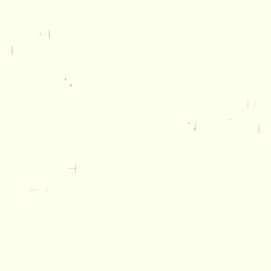 CC1(C)c2ccccc2-c2ccc(-c3c4ccc(N5c6ccccc6C(C)(C)c6ccccc65)cc4c(-c4ccc5ccccc5c4)c4cc(N5c6ccccc6C(C)(C)c6ccccc65)ccc34)cc21